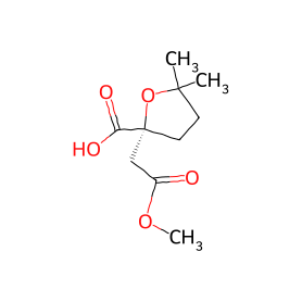 COC(=O)C[C@@]1(C(=O)O)CCC(C)(C)O1